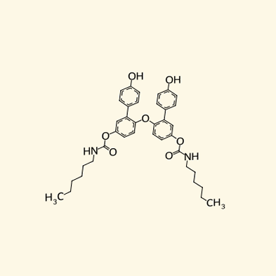 CCCCCCNC(=O)Oc1ccc(Oc2ccc(OC(=O)NCCCCCC)cc2-c2ccc(O)cc2)c(-c2ccc(O)cc2)c1